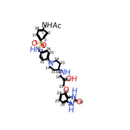 CC(=O)Nc1ccc(S(=O)(=O)Nc2ccc(N3CCC(NC[C@H](O)COc4cccc5[nH]c(=O)[nH]c45)CC3)cc2)cc1